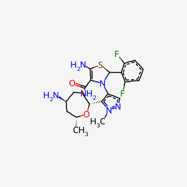 C[C@@H]1C[C@@H](N)CC[C@H](c2c(N3C(C(N)=O)=C(N)SC3c3c(F)cccc3F)cnn2C)O1